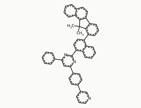 CC1(C)c2c(cccc2-c2ccc(-c3nc(-c4ccccc4)cc(-c4ccc(-c5cccnc5)cc4)n3)c3ccccc23)-c2ccc3ccccc3c21